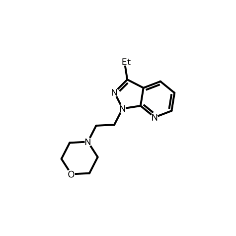 CCc1nn(CCN2CCOCC2)c2ncccc12